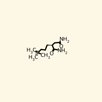 C[Si](C)(C)CCC[C@@H](CC(N)=O)C(N)=O